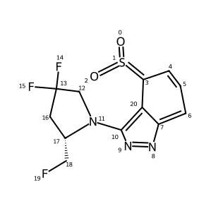 O=S(=O)=C1C=CC=C2N=NC(N3CC(F)(F)C[C@H]3CF)=C21